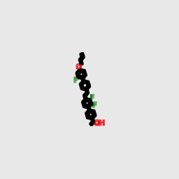 C=CCCOc1ccc(C2CCC(CCc3ccc(-c4ccc(C(C)O)cc4)c(F)c3F)CC2)c(F)c1